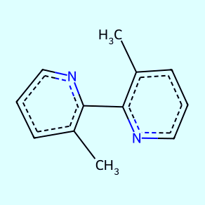 Cc1cccnc1-c1ncccc1C